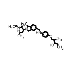 C=CNC(=O)C(CCC)N1Cc2cc(CNc3ccc(OC/C(C)=C(\O)C=C)cc3)ccc2C1=C